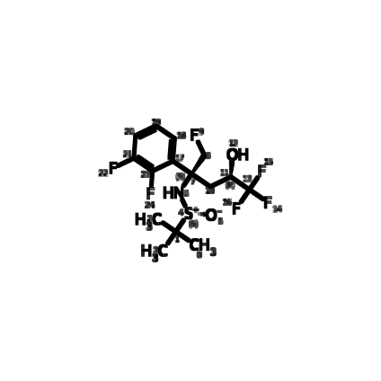 CC(C)(C)[S@@+]([O-])N[C@@](CF)(C[C@@H](O)C(F)(F)F)c1cccc(F)c1F